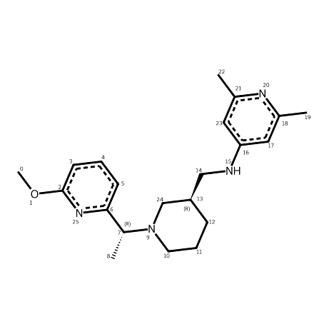 COc1cccc([C@@H](C)N2CCC[C@H](CNc3cc(C)nc(C)c3)C2)n1